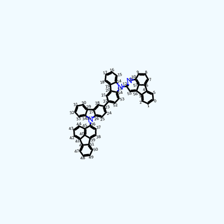 c1ccc2c(c1)-c1cccc3nc(-n4c5ccccc5c5cc(-c6ccc7c(c6)c6ccccc6n7-c6ccc7c8c(cccc68)-c6ccccc6-7)ccc54)cc-2c13